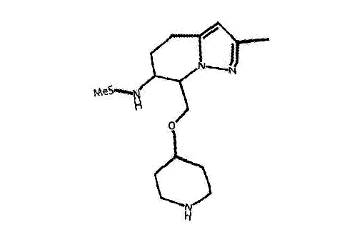 CSNC1CCc2cc(C)nn2C1COC1CCNCC1